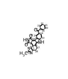 Cc1nc2c(s1)-c1c3c(c4c([nH]c5ccc(C(=O)c6ccccc6)cc54)c1CC2)C(=O)NC3=O